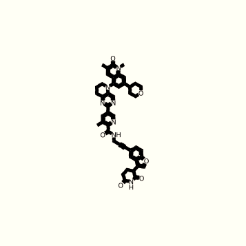 Cc1cc(-c2ncc3c(n2)CCCN3c2cc(C3CCOCC3)cc3c2cc(C)c(=O)n3C)cnc1C(=O)NCC#Cc1ccc2occ(C3CCC(=O)NC3=O)c2c1